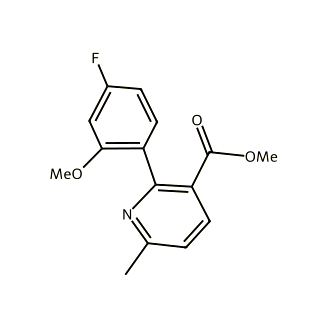 COC(=O)c1ccc(C)nc1-c1ccc(F)cc1OC